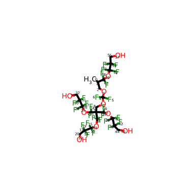 CC(COC(F)(F)OCC(C(F)(F)OC(F)(F)C(F)(F)CO)(C(F)(F)OC(F)(F)C(F)(F)CO)C(F)(F)OC(F)(F)C(F)(F)CO)C(F)(F)OC(F)(F)C(F)(F)CO